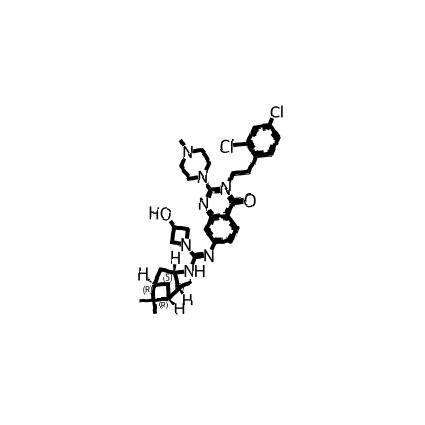 C[C@H]1[C@@H](NC(=Nc2ccc3c(=O)n(CCc4ccc(Cl)cc4Cl)c(N4CCN(C)CC4)nc3c2)N2CC(O)C2)C[C@H]2C[C@H]1C2(C)C